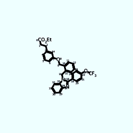 CCOC(=O)CCc1cccc(OCc2ccccc2Cn2c(-c3ccc(OC(F)(F)F)cc3)nc3ccccc32)c1